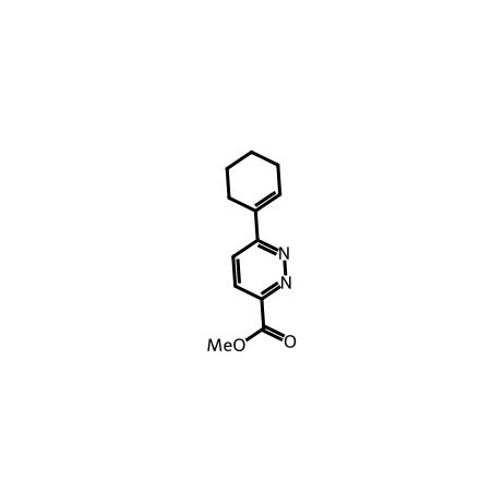 COC(=O)c1ccc(C2=CCCCC2)nn1